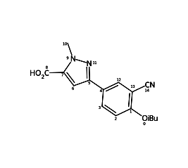 CC(C)COc1ccc(-c2cc(C(=O)O)n(C)n2)cc1C#N